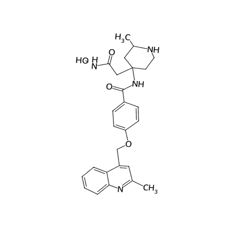 Cc1cc(COc2ccc(C(=O)NC3(CC(=O)NO)CCNC(C)C3)cc2)c2ccccc2n1